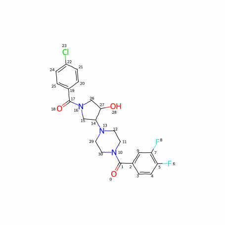 O=C(c1ccc(F)c(F)c1)N1CCN(C2CN(C(=O)c3ccc(Cl)cc3)CC2O)CC1